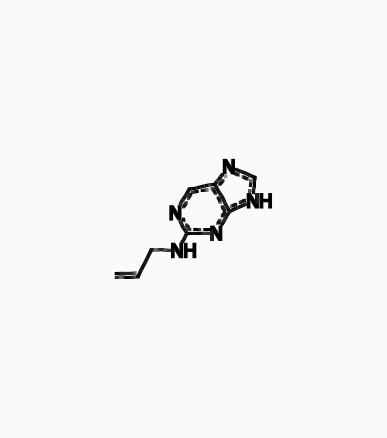 C=CCNc1ncc2nc[nH]c2n1